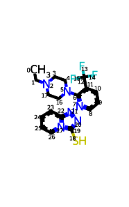 CCN1CCN(c2ncccc2C(F)(F)F)CC1.Sc1nnc2ccccn12